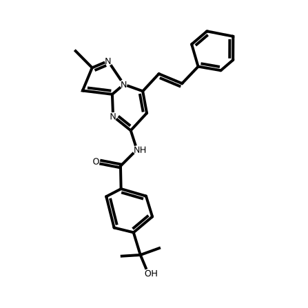 Cc1cc2nc(NC(=O)c3ccc(C(C)(C)O)cc3)cc(/C=C/c3ccccc3)n2n1